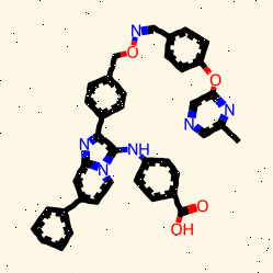 Cc1cncc(Oc2ccc(/C=N\OCc3ccc(-c4nc5cc(-c6ccccc6)ccn5c4Nc4ccc(C(=O)O)cc4)cc3)cc2)n1